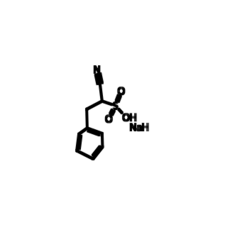 N#CC(Cc1ccccc1)S(=O)(=O)O.[NaH]